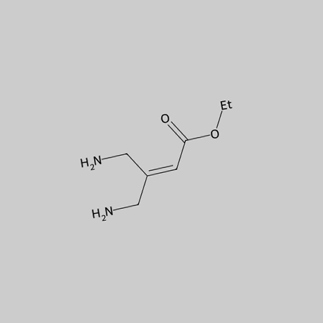 CCOC(=O)C=C(CN)CN